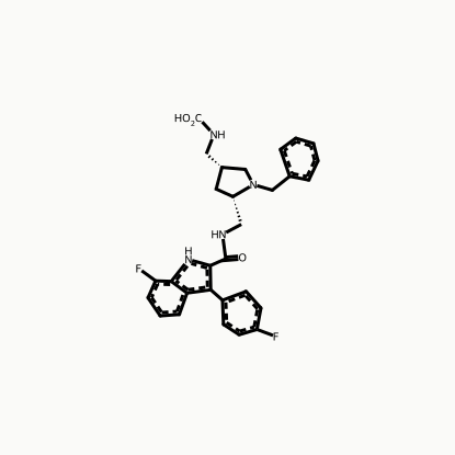 O=C(O)NC[C@H]1C[C@@H](CNC(=O)c2[nH]c3c(F)cccc3c2-c2ccc(F)cc2)N(Cc2ccccc2)C1